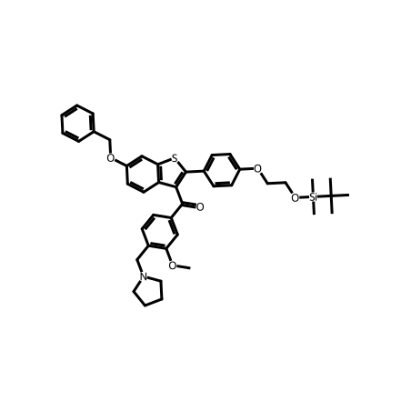 COc1cc(C(=O)c2c(-c3ccc(OCCO[Si](C)(C)C(C)(C)C)cc3)sc3cc(OCc4ccccc4)ccc23)ccc1CN1CCCC1